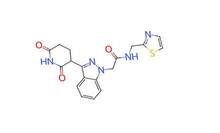 O=C(Cn1nc(C2CCC(=O)NC2=O)c2ccccc21)NCc1nccs1